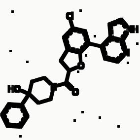 O=C(C1Cc2cc(Cl)cc(-c3ccnc4[nH]ccc34)c2O1)N1CCC(O)(c2ccccc2)CC1